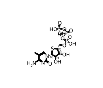 Cc1cn([C@@H]2S[C@H](COP(=O)(O)OP(=O)(O)OP(=O)(O)O)[C@@H](O)[C@H]2O)c(=O)nc1N